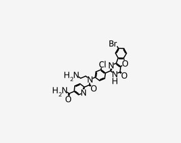 NCCN(C(=O)c1ccc(C(N)=O)cn1)c1ccc(-c2nc3c(oc4ccc(Br)cc43)c(=O)[nH]2)c(Cl)c1